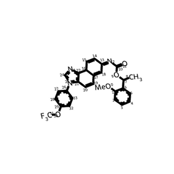 COc1ccccc1C(C)OC(=O)N=C1C=CC2C(=C1)C=Cc1c2ncn1-c1ccc(OC(F)(F)F)cc1